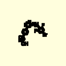 Oc1cc(-c2ccc(-c3cc(NCCc4c(F)cc(Br)cc4F)ncn3)cc2)on1